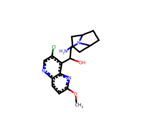 COc1ccc2ncc(Cl)c(C(O)CN3C4CCC3CC(N)C4)c2n1